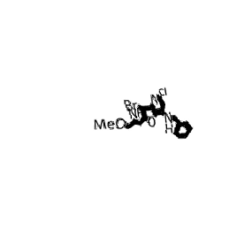 COC[C@H](N)Cc1oc2c(NCc3ccccc3)cc(Cl)nc2c1Br